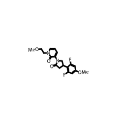 COCCn1cccc(N2CC(c3c(F)cc(OC)cc3F)CC2=O)c1=O